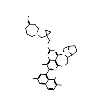 CCc1c(F)ccc2cc(O)cc(-c3nc4c5c(nc(OCC6(CN7CCCC(=NOC)CC7)CC6)nc5c3F)N3C[C@H]5CC[C@H](N5)[C@H]3[C@H](C)O4)c12